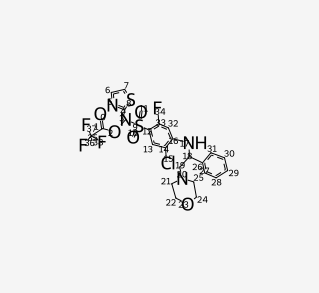 O=C(ON(c1nccs1)S(=O)(=O)c1cc(Cl)c(NC(CN2CCOCC2)c2ccccc2)cc1F)C(F)(F)F